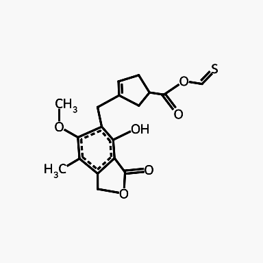 COc1c(C)c2c(c(O)c1CC1=CCC(C(=O)OC=S)C1)C(=O)OC2